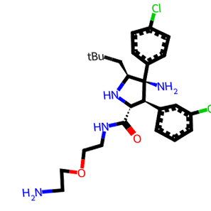 CC(C)(C)C[C@@H]1N[C@@H](C(=O)NCCOCCN)[C@H](c2cccc(Cl)c2)[C@@]1(N)c1ccc(Cl)cc1